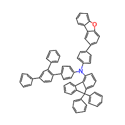 c1ccc(-c2ccc(-c3ccc(N(c4ccc(-c5ccc6oc7ccccc7c6c5)cc4)c4cccc5c4-c4ccccc4C5(c4ccccc4)c4ccccc4)cc3)c(-c3ccccc3)c2)cc1